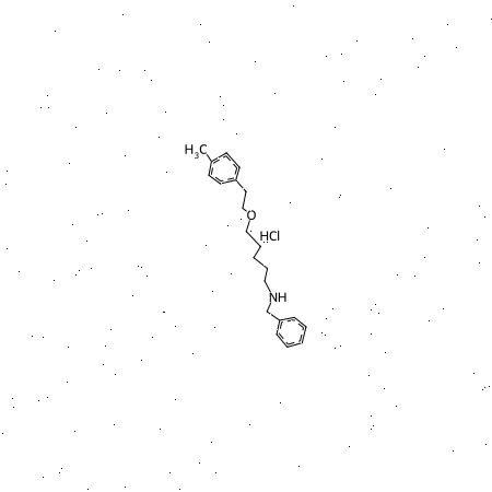 Cc1ccc(CCOCCCCCNCc2ccccc2)cc1.Cl